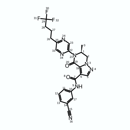 C[C@H]1Cn2ncc(C(=O)Nc3cccc(C#N)c3)c2C(=O)N1c1cnc(CCCC(F)(F)F)cn1